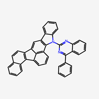 c1ccc(-c2nc(-n3c4ccccc4c4cc5c6c(cccc6c43)-c3c-5ccc4ccccc34)nc3ccccc23)cc1